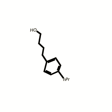 CCCc1ccc(CCCCO)cc1